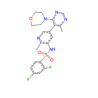 Cc1ncc(-c2c(C)ncnc2N2CCOCC2)cc1NS(=O)(=O)c1ccc(F)cc1F